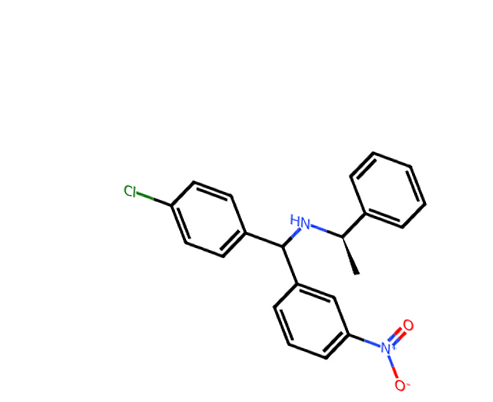 C[C@@H](NC(c1ccc(Cl)cc1)c1cccc([N+](=O)[O-])c1)c1ccccc1